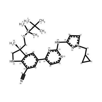 CC(C)(C)[Si](C)(C)OC[C@@]1(C)CNc2c(C#N)cc(-c3ccnc(Nc4ccn(CC5CC5)n4)n3)cc21